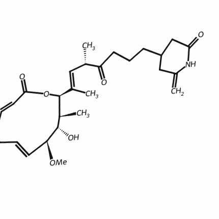 C=C1CC(CCCC(=O)[C@@H](C)/C=C(\C)[C@@H]2OC(=O)/C=C/CC/C=C/[C@H](OC)[C@@H](O)[C@@H]2C)CC(=O)N1